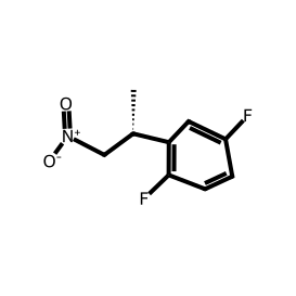 C[C@@H](C[N+](=O)[O-])c1cc(F)ccc1F